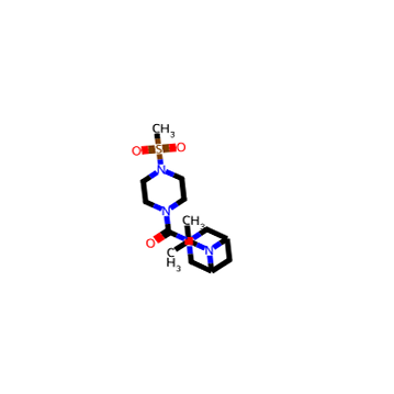 CC(C)N1C2CC1CN(C(=O)N1CCN(S(C)(=O)=O)CC1)C2